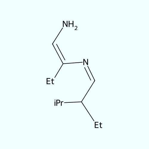 CCC(=C/N)/N=C\C(CC)C(C)C